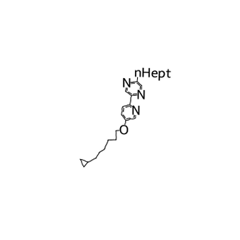 CCCCCCCc1cnc(-c2ccc(OCCCCCCC3CC3)cn2)cn1